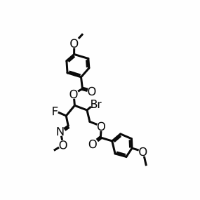 CON=CC(F)C(OC(=O)c1ccc(OC)cc1)C(Br)COC(=O)c1ccc(OC)cc1